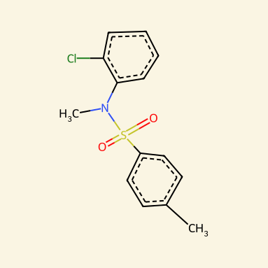 Cc1ccc(S(=O)(=O)N(C)c2ccccc2Cl)cc1